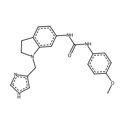 COc1ccc(NC(=O)Nc2ccc3c(c2)N(Cc2c[nH]cn2)CC3)cc1